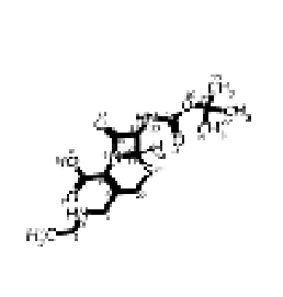 CCNCC1=C(C(=O)O)N2C(=O)C(NC(=O)OC(C)(C)C)[C@@H]2SC1